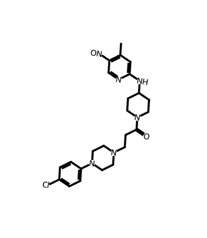 Cc1cc(NC2CCN(C(=O)CCN3CCN(c4ccc(Cl)cc4)CC3)CC2)ncc1N=O